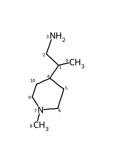 CC(CN)C1CCN(C)CC1